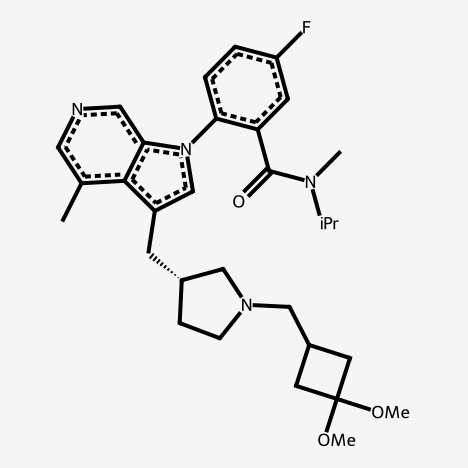 COC1(OC)CC(CN2CC[C@H](Cc3cn(-c4ccc(F)cc4C(=O)N(C)C(C)C)c4cncc(C)c34)C2)C1